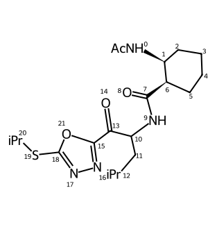 CC(=O)N[C@H]1CCCC[C@H]1C(=O)NC(CC(C)C)C(=O)c1nnc(SC(C)C)o1